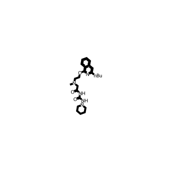 CCCCc1cc2ccccc2c(OCCN(C)CC(=O)NC(=O)NN2CCCCC2)n1